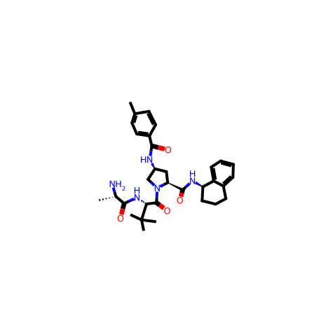 Cc1ccc(C(=O)N[C@H]2C[C@@H](C(=O)N[C@@H]3CCCc4ccccc43)N(C(=O)[C@@H](NC(=O)[C@H](C)N)C(C)(C)C)C2)cc1